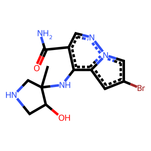 CC1(Nc2c(C(N)=O)cnn3cc(Br)cc23)CNCC1O